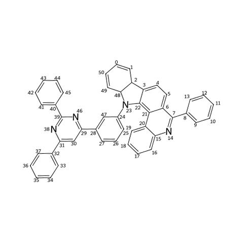 C1=CC2c3ccc4c(-c5ccccc5)nc5ccccc5c4c3N(c3cccc(-c4cc(-c5ccccc5)nc(-c5ccccc5)n4)c3)C2C=C1